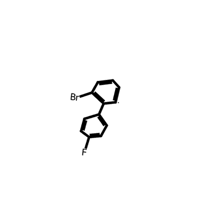 Fc1ccc(-c2[c]cccc2Br)cc1